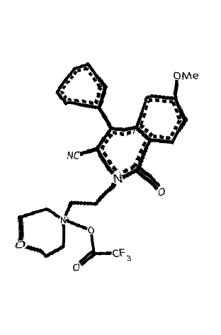 COc1ccc2c(=O)n(CC[N+]3(OC(=O)C(F)(F)F)CCOCC3)c(C#N)c(-c3ccccc3)c2c1